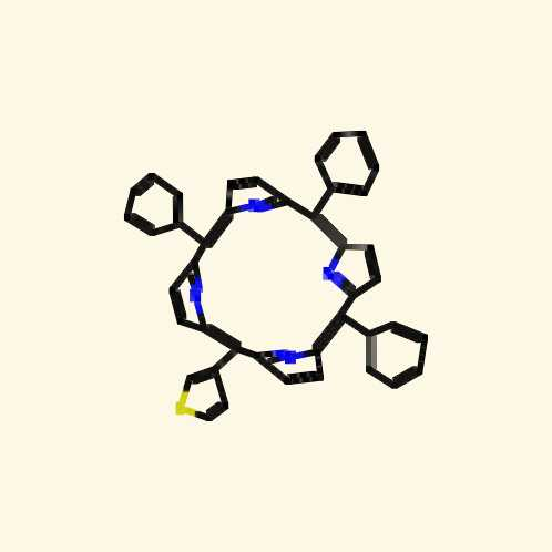 C1=CC2=C(c3ccccc3)C3=NC(=C(c4ccccc4)C4=NC(=C(c5ccsc5)C5=NC(=C(c6ccccc6)C1=N2)C=C5)C=C4)C=C3